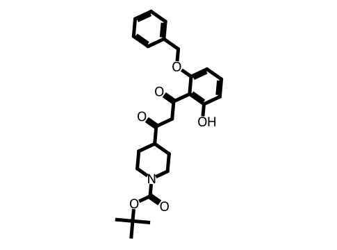 CC(C)(C)OC(=O)N1CCC(C(=O)CC(=O)c2c(O)cccc2OCc2ccccc2)CC1